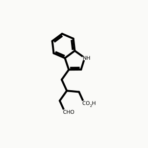 O=CCC(CC(=O)O)Cc1c[nH]c2ccccc12